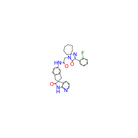 O=C(CN1C(=O)C(c2ccccc2F)=NC12CCCCCC2)Nc1ccc2c(c1)CC1(C2)C(=O)Nc2ncccc21